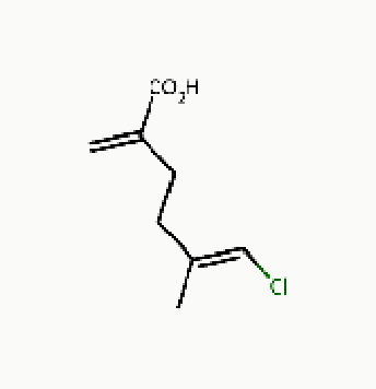 C=C(CCC(C)=CCl)C(=O)O